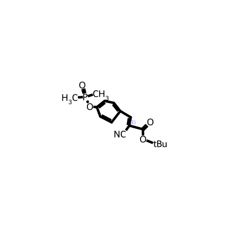 CC(C)(C)OC(=O)/C(C#N)=C/c1ccc(OP(C)(C)=O)cc1